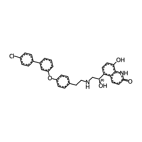 O=c1ccc2c([C@@H](O)CNCCc3ccc(Oc4cccc(-c5ccc(Cl)cc5)c4)cc3)ccc(O)c2[nH]1